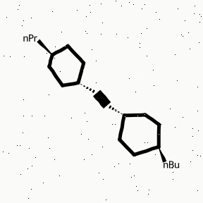 CCCC[C@H]1CC[C@H](C#C[C@H]2CC[C@H](CCC)CC2)CC1